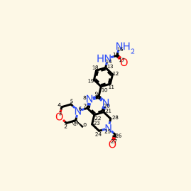 C[C@H]1COCCN1c1nc(-c2ccc(NC(N)=O)cc2)nc2c1CCN(C=O)C2